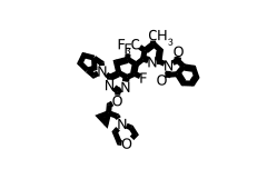 Cc1cc(N2C(=O)c3ccccc3C2=O)nc(-c2c(F)cc3c(N4CC5CCC(C5)C4)nc(OCC4(CN5CCOCC5)CC4)nc3c2F)c1C(F)(F)F